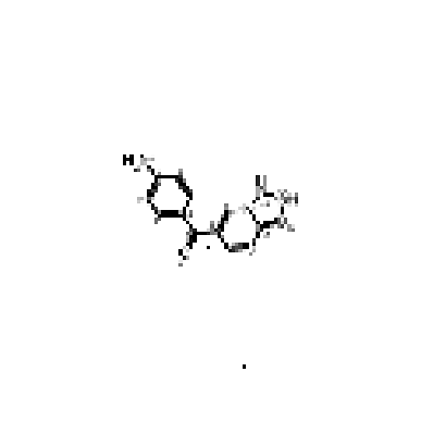 Nc1ccc(C(=O)C2=CN3BBB=C3C=C2)cc1